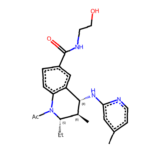 CC[C@H]1[C@H](C)[C@@H](Nc2cc(C)ccn2)c2cc(C(=O)NCCO)ccc2N1C(C)=O